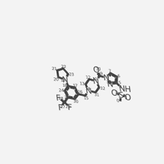 CS(=O)(=O)Nc1ccn(C(=O)N2CCN(Cc3cc(N4CCCC4)cc(C(F)(F)F)c3)CC2)n1